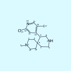 CN1CCC2(CCNCC2c2cc(Cl)ncc2I)CC1